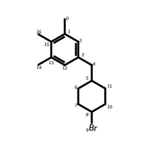 Cc1cc(CC2CCC(Br)CC2)cc(C)c1C